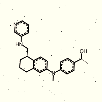 C[C@@H](O)c1ccc(N(C)c2ccc3c(c2)CCC[C@H]3CNc2cccnc2)cc1